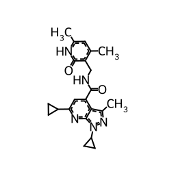 Cc1cc(C)c(CNC(=O)c2cc(C3CC3)nc3c2c(C)nn3C2CC2)c(=O)[nH]1